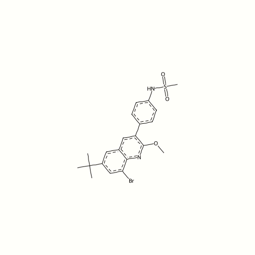 COc1nc2c(Br)cc(C(C)(C)C)cc2cc1-c1ccc(NS(C)(=O)=O)cc1